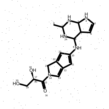 CC1NC2NC=CC2C(NC2=CC3=CN(C(=O)[C@H](O)CO)CC3=C2)N1